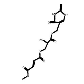 C=C1NC=C(COC(=O)C(O)COC(=O)/C=C/C(=O)OC)C(=O)N1